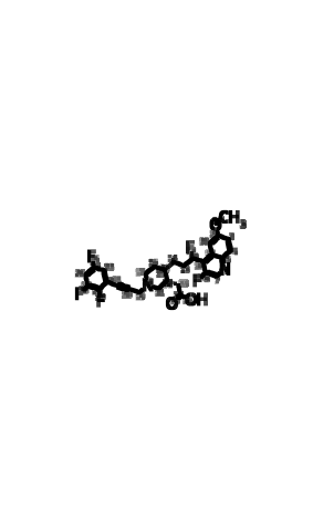 COc1ccc2ncc(F)c([C@@H](F)CC[C@@H]3CCN(CC#Cc4cc(F)cc(F)c4F)C[C@H]3CC(=O)O)c2c1